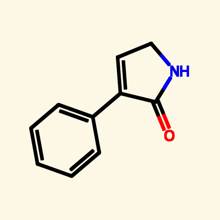 O=C1NCC=C1c1ccccc1